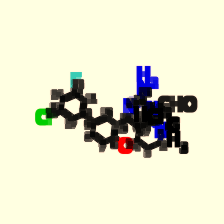 CN1CCC2Oc3ccc(-c4cc(F)cc(Cl)c4)cc3C(/N=C(/N)N(C)C=O)[C@H]2C1